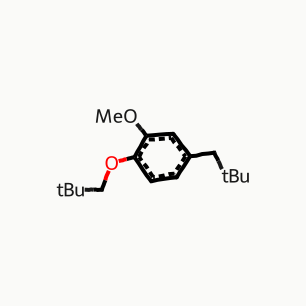 COc1cc(CC(C)(C)C)ccc1OCC(C)(C)C